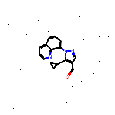 O=Cc1cnn(-c2cccc3cccnc23)c1C1CC1